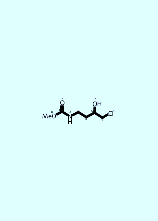 COC(=O)NCCC(O)CCl